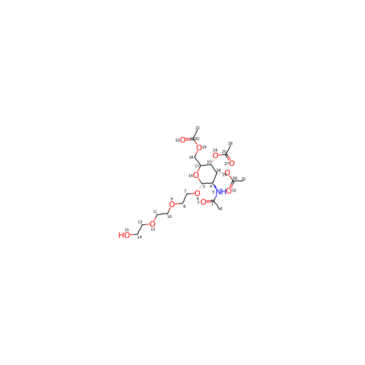 CC(=O)N[C@H]1[C@H](OCCOCCOCCO)OC(COC(C)=O)[C@H](OC(C)=O)[C@@H]1OC(C)=O